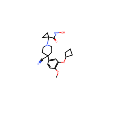 COc1ccc(C2(C#N)CCN(C3(C(=O)NO)CC3)CC2)cc1OC1CCC1